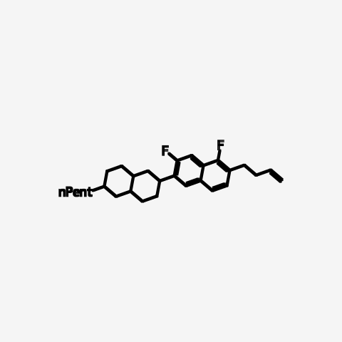 C=CCCc1ccc2cc(C3CCC4CC(CCCCC)CCC4C3)c(F)cc2c1F